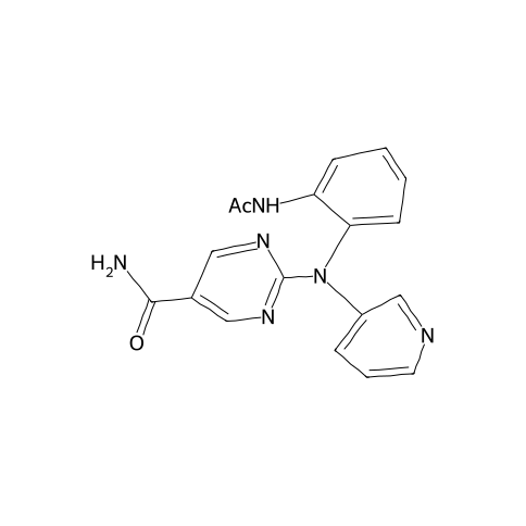 CC(=O)Nc1ccccc1N(c1cccnc1)c1ncc(C(N)=O)cn1